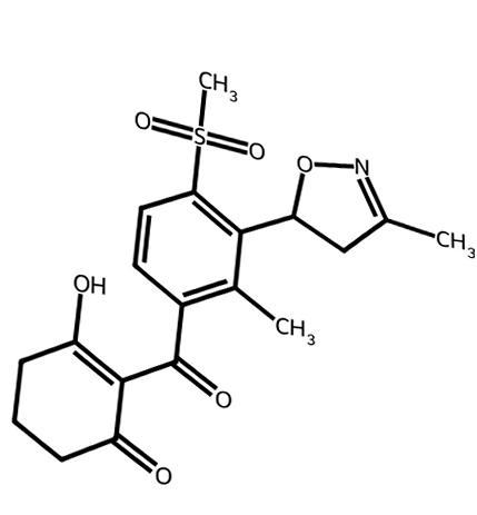 CC1=NOC(c2c(S(C)(=O)=O)ccc(C(=O)C3=C(O)CCCC3=O)c2C)C1